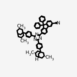 C[C@@H]1CC2C[C@H](C)CC(c3ccc(-c4nc(-c5ccc(C67C[C@H](C)C[C@H](C[C@H](C)C6)C7)cc5)nc(-c5ccc6c(c5)C(c5ccccc5)(c5ccccc5)c5ccc(C#N)cc5-6)n4)cc3)(C2)C1